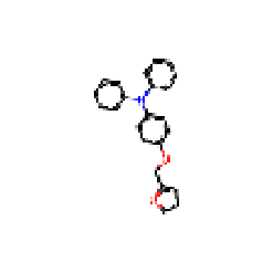 c1ccc(N(c2ccccc2)c2ccc(OCc3ccco3)cc2)cc1